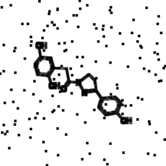 O=C(Cc1cc(O)ccc1O)N1CCC(c2ccc(O)cc2)=N1